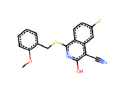 COc1ccccc1CSc1nc(O)c(C#N)c2cc(F)ccc12